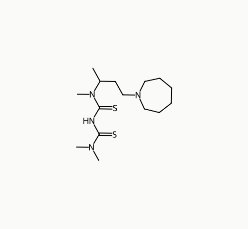 CC(CCN1CCCCCC1)N(C)C(=S)NC(=S)N(C)C